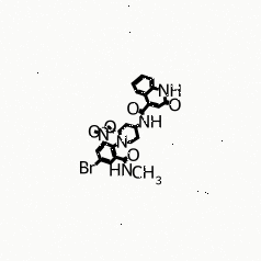 CNC(=O)c1cc(Br)cc([N+](=O)[O-])c1N1CCC(NC(=O)c2cc(=O)[nH]c3ccccc23)CC1